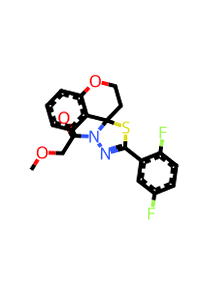 COCC(=O)N1N=C(c2cc(F)ccc2F)SC12CCOc1ccccc12